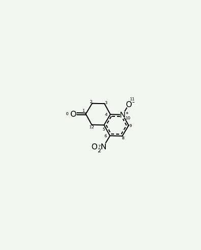 O=C1CCc2c(c([N+](=O)[O-])cc[n+]2[O-])C1